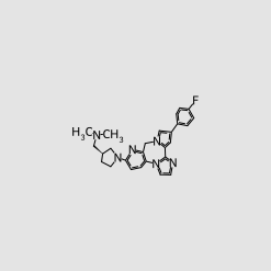 CN(C)C[C@@H]1CCN(c2ccc3c(n2)Cn2cc(-c4ccc(F)cc4)cc2-c2nccn2-3)C1